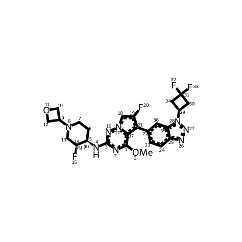 COc1nc(N[C@@H]2CCN(C3COC3)C[C@@H]2F)nn2cc(F)c(-c3ccc4nnn(C5CC(F)(F)C5)c4c3)c12